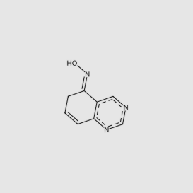 ON=C1CC=Cc2ncncc21